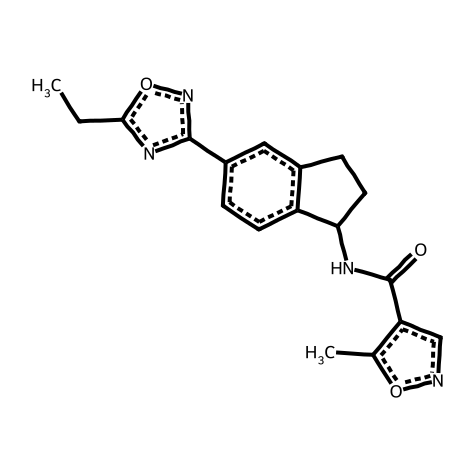 CCc1nc(-c2ccc3c(c2)CCC3NC(=O)c2cnoc2C)no1